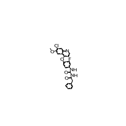 COc1cc2c(Oc3ccc(NC(=O)NC(=O)Cc4ccccc4)cc3F)ccnc2cc1Cl